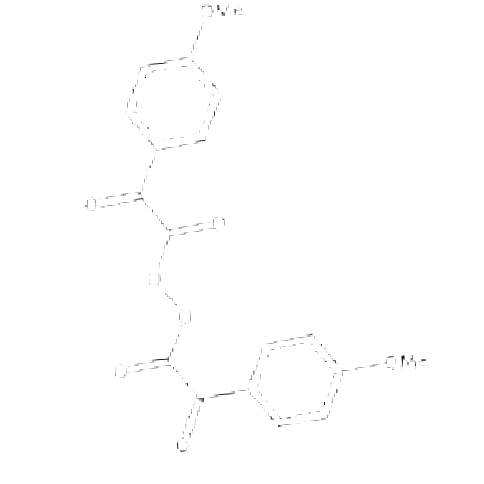 COc1ccc(C(=O)C(=O)OOC(=O)C(=O)c2ccc(OC)cc2)cc1